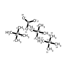 C[P+](C)(C)C.C[P+](C)(C)C.C[P+](C)(C)C.[O-]B([O-])[O-]